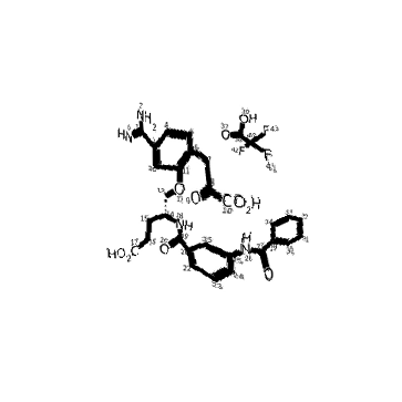 N=C(N)c1ccc(CC(=O)C(=O)O)c(OC[C@@H](CCC(=O)O)NC(=O)c2cccc(NC(=O)c3ccccc3)c2)c1.O=C(O)C(F)(F)F